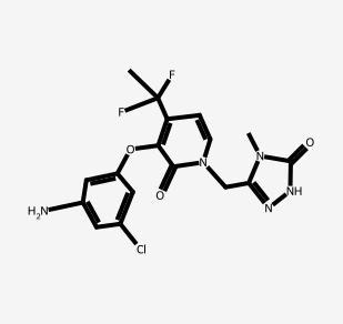 Cn1c(Cn2ccc(C(C)(F)F)c(Oc3cc(N)cc(Cl)c3)c2=O)n[nH]c1=O